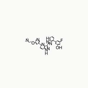 CN(C)CCOc1cncc(-c2ccc3[nH]nc(-c4nc5c(-c6cc(O)cc(F)c6)cccc5[nH]4)c3n2)c1